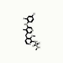 CNS(=O)(=O)Nc1nccc(Cc2cncc(Nc3ccc(Cl)cc3F)c2C)c1OC